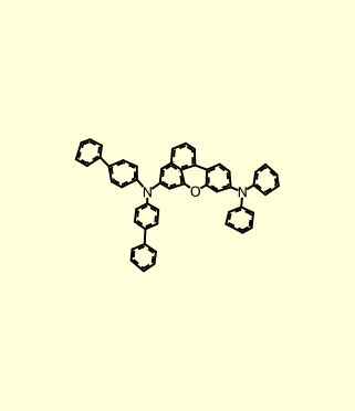 c1ccc(-c2ccc(N(c3ccc(-c4ccccc4)cc3)c3cc4c5c(cccc5c3)-c3ccc(N(c5ccccc5)c5ccccc5)cc3O4)cc2)cc1